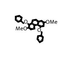 COc1cc(OCc2ccccc2)c2c(ccc3c(OCc4ccccc4)c(OC)ccc32)c1